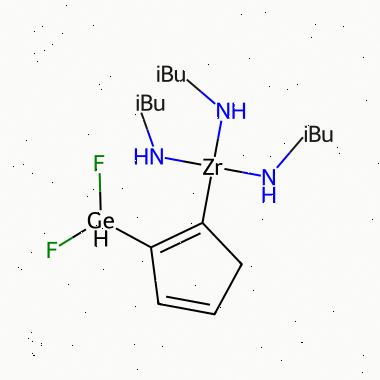 CCC(C)[NH][Zr]([NH]C(C)CC)([NH]C(C)CC)[C]1=[C]([GeH]([F])[F])C=CC1